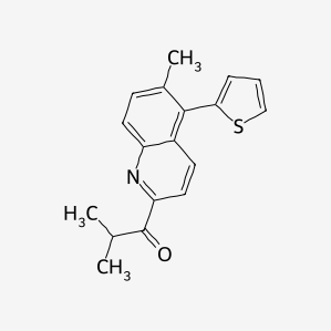 Cc1ccc2nc(C(=O)C(C)C)ccc2c1-c1cccs1